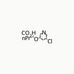 CCCC(Oc1cncc(Cl)c1)C(=O)O